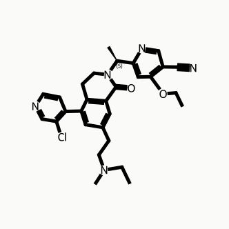 CCOc1cc([C@H](C)N2CCc3c(cc(CCN(C)CC)cc3-c3ccncc3Cl)C2=O)ncc1C#N